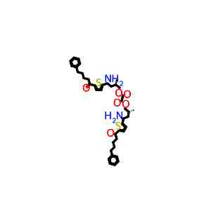 C[C@@H](COC(=O)C(=O)OC[C@H](C)CC(N)c1ccc(C(=O)CCCCc2ccccc2)s1)CC(N)c1ccc(C(=O)CCCCc2ccccc2)s1